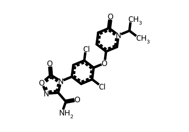 CC(C)n1cc(Oc2c(Cl)cc(-n3c(C(N)=O)noc3=O)cc2Cl)ccc1=O